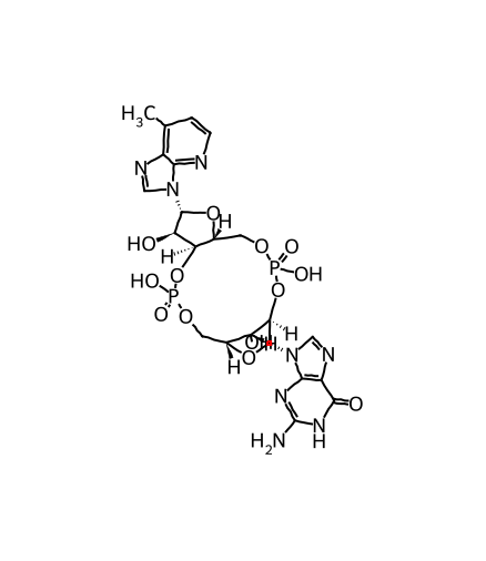 Cc1ccnc2c1ncn2[C@@H]1O[C@@H]2COP(=O)(O)O[C@@H]3[C@H](O)[C@@H](COP(=O)(O)O[C@H]2[C@H]1O)O[C@H]3n1cnc2c(=O)[nH]c(N)nc21